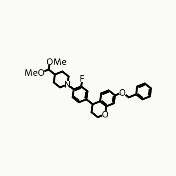 COC(OC)C1CCN(c2ccc(C3CCOc4cc(OCc5ccccc5)ccc43)cc2F)CC1